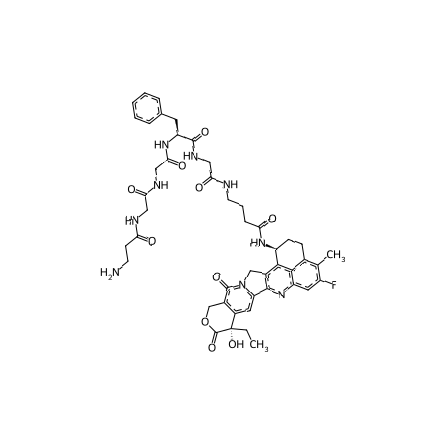 CC[C@@]1(O)C(=O)OCc2c1cc1n(c2=O)Cc2c-1nc1cc(F)c(C)c3c1c2[C@@H](NC(=O)CCCNC(=O)CNC(=O)[C@H](Cc1ccccc1)NC(=O)CNC(=O)CNC(=O)CCN)CC3